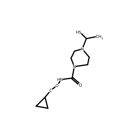 CC(S)N1CCN(C(=O)NOCC2CC2)CC1